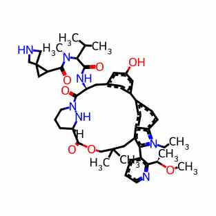 CCn1c(-c2cccnc2[C@H](C)OC)c2c3cc(ccc31)-c1cc(O)cc(c1)C[C@H](NC(=O)C(C(C)C)N(C)C(=O)C1CC13CNC3)C(=O)N1CCC[C@H](N1)C(=O)OCC(C)(C)C2